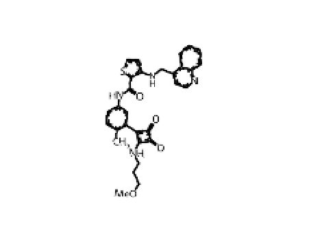 COCCCNc1c(-c2cc(NC(=O)c3sccc3NCc3ccnc4ccccc34)ccc2C)c(=O)c1=O